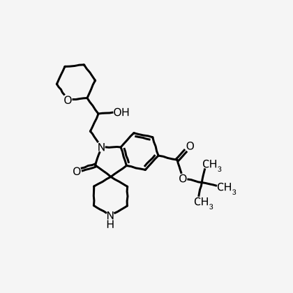 CC(C)(C)OC(=O)c1ccc2c(c1)C1(CCNCC1)C(=O)N2CC(O)C1CCCCO1